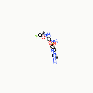 C[C@@H](NC(=O)[C@H]1CC[C@H](NS(=O)(=O)c2ccc3nc(N4CCNC5(CC5)C4)ccc3c2)CC1)c1ccc(F)cc1